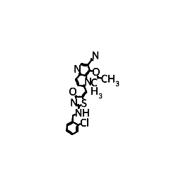 CC(C)Oc1c(C#N)cnc2ccc(C=C3SC(NCc4ccccc4Cl)=NC3=O)nc12